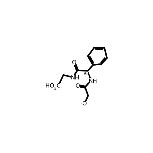 [O]CC(=O)N[C@@H](C(=O)NCC(=O)O)c1ccccc1